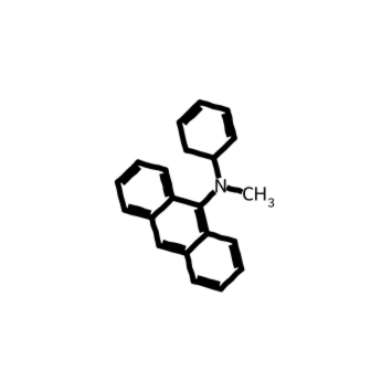 CN(c1c2ccccc2cc2ccccc12)C1C=CC=CC1